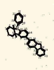 CC12CCCCC1(C)c1cc(-c3ccc4c(c3)Cc3ccccc3-4)ccc1B2c1ccccc1